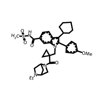 CCN1CC2CC1CN2C(=O)C1(Cn2c(-c3ccc(OC)cc3)c(C3CCCCC3)c3ccc(C(=O)NS(C)(=O)=O)cc32)CC1